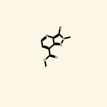 COC(=O)c1ccnc2c(Br)n(C)nc12